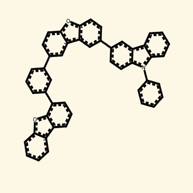 c1ccc(-n2c3ccccc3c3cc(-c4ccc5oc6ccc(-c7cccc(-c8cccc9c8oc8ccccc89)c7)cc6c5c4)ccc32)cc1